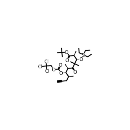 C#CC[C@H](C)[C@H](OC(=O)OCC(Cl)(Cl)Cl)[C@@H](C)C(=O)C(C)(C)[C@@H](O[Si](CC)(CC)CC)[C@H](C)C(=O)OC(C)(C)C